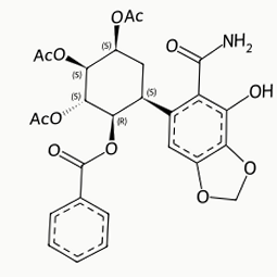 CC(=O)O[C@@H]1[C@@H](OC(C)=O)[C@@H](OC(C)=O)C[C@@H](c2cc3c(c(O)c2C(N)=O)OCO3)[C@H]1OC(=O)c1ccccc1